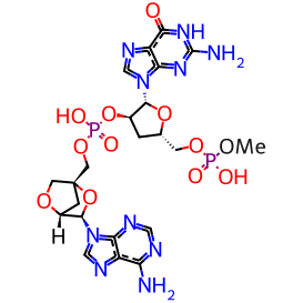 COP(=O)(O)OC[C@@H]1C[C@@H](OP(=O)(O)OC[C@]23CO[C@H](C2)[C@H](n2cnc4c(N)ncnc42)O3)[C@H](n2cnc3c(=O)[nH]c(N)nc32)O1